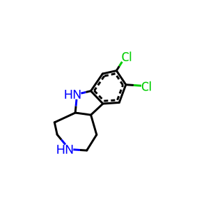 Clc1cc2c(cc1Cl)C1CCNCCC1N2